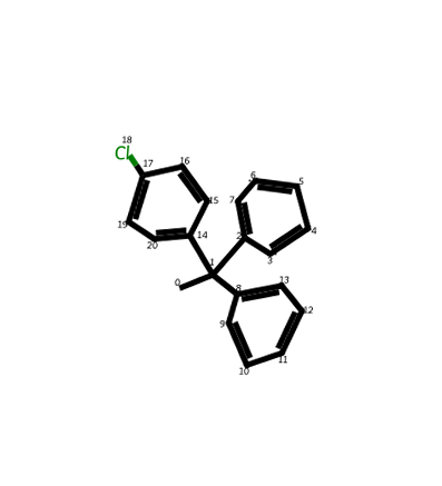 CC(c1[c]cc[c]c1)(c1[c]cc[c]c1)c1ccc(Cl)cc1